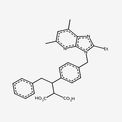 CCc1nc2c(C)cc(C)nc2n1Cc1ccc(C(Cc2ccccc2)C(C(=O)O)C(=O)O)cc1